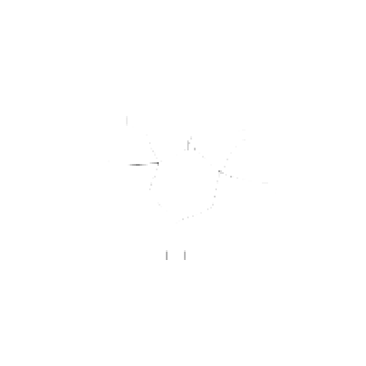 CC1(C)CCCC(C)(C)N1Cl.[LiH]